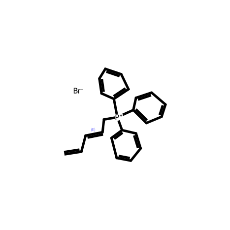 C=C/C=C/C[P+](c1ccccc1)(c1ccccc1)c1ccccc1.[Br-]